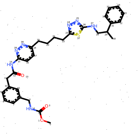 COC(=O)NCc1cccc(CC(=O)Nc2ccc(CCCCc3nnc(NCC(C)c4ccccc4)s3)nn2)c1